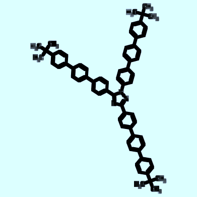 CC(C)(C)c1ccc(-c2ccc(-c3ccc(-c4nc(-c5ccc(-c6ccc(-c7ccc(C(C)(C)C)cc7)cc6)cc5)n(-c5ccc(-c6ccc(-c7ccc(C(C)(C)C)cc7)cc6)cc5)n4)cc3)cc2)cc1